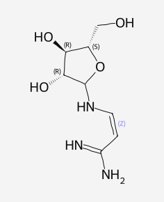 N=C(N)/C=C\NC1O[C@@H](CO)[C@H](O)[C@H]1O